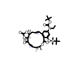 CCN(C(=O)OC(C)(C)C)c1cc2c(c(O[Si](C)(C)C(C)(C)C)c1)C(=O)O[C@@H](C)[C@H](C)/C=C\C(=O)[C@H]1OC(=O)O[C@H]1C/C=C/2